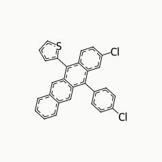 Clc1ccc(-c2c3cc(Cl)ccc3c(-c3cccs3)c3cc4ccccc4cc23)cc1